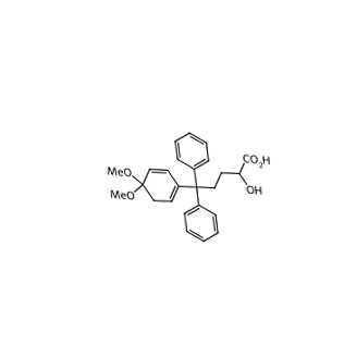 COC1(OC)C=CC(C(CCC(O)C(=O)O)(c2ccccc2)c2ccccc2)=CC1